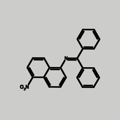 O=[N+]([O-])c1cccc2c(N=C(c3ccccc3)c3ccccc3)cccc12